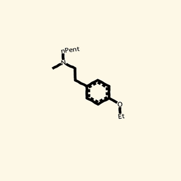 [CH2]CCCCN(C)CCc1ccc(OCC)cc1